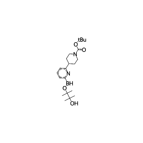 CC(C)(C)OC(=O)N1CCC(c2cccc(BOC(C)(C)C(C)(C)O)n2)CC1